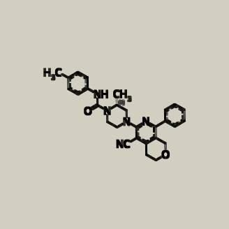 Cc1ccc(NC(=O)N2CCN(c3nc(-c4ccccc4)c4c(c3C#N)CCOC4)C[C@H]2C)cc1